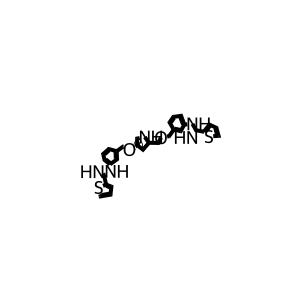 N=C(Nc1cccc(COCC2C[C@@H](OCc3cccc(NC(=N)c4cccs4)c3)CN2)c1)c1cccs1